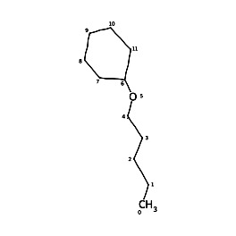 CCCC[CH]OC1CCCCC1